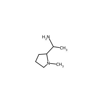 CC(N)C1CCCN1C